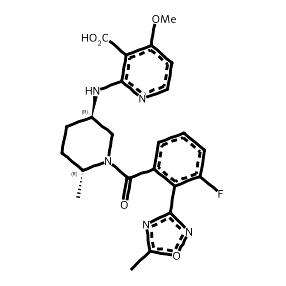 COc1ccnc(N[C@@H]2CC[C@@H](C)N(C(=O)c3cccc(F)c3-c3noc(C)n3)C2)c1C(=O)O